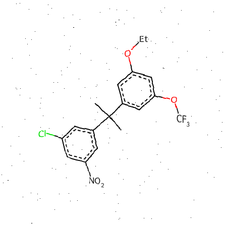 CCOc1cc(OC(F)(F)F)cc(C(C)(C)c2cc(Cl)cc([N+](=O)[O-])c2)c1